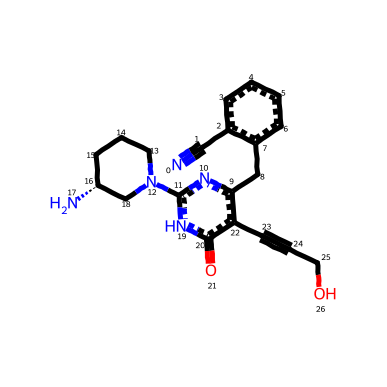 N#Cc1ccccc1Cc1nc(N2CCC[C@@H](N)C2)[nH]c(=O)c1C#CCO